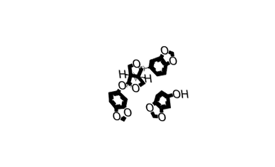 Oc1ccc2c(c1)OCO2.c1cc2c(cc1O[C@H]1OC[C@H]3[C@@H]1CO[C@@H]3c1ccc3c(c1)OCO3)OCO2